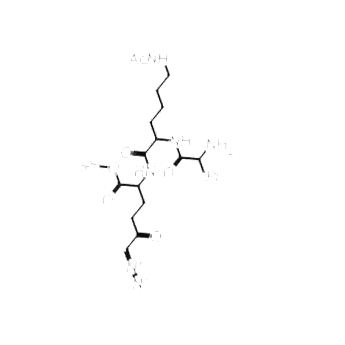 CC(=O)NCCCCC(NC(=O)C(N)C(C)C)C(=O)NC(CCC(=O)C=[N+]=[N-])C(=O)OC(C)C